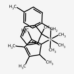 CC1=C(C)C(C)[C]([Ti]([CH3])([CH3])([CH3])([SiH2]c2ccc(C)cc2)[C]2(C)C=CC=CC2)=C1C